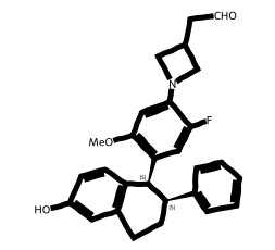 COc1cc(N2CC(CC=O)C2)c(F)cc1[C@@H]1c2ccc(O)cc2CC[C@@H]1c1ccccc1